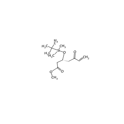 C=CC(=O)C[C@H](CC(=O)OC)O[Si](C)(C)C(C)(C)C